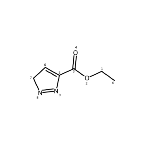 CCOC(=O)C1=CCN=N1